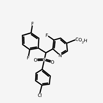 O=C(O)c1cnc(C(c2cc(F)ccc2F)S(=O)(=O)c2ccc(Cl)cc2)c(F)c1